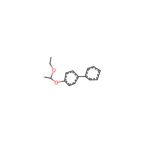 [CH2]C(OCC)Oc1ccc(-c2ccccc2)cc1